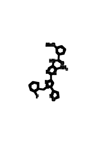 COc1cccc(C(=O)Nc2cnc(-c3cc(-c4ccon4)n(Cc4ccccc4F)n3)nc2N)c1